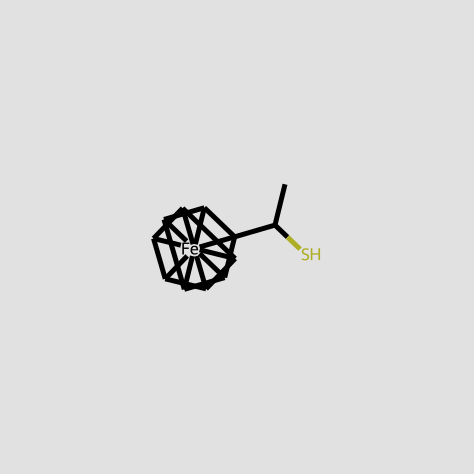 CC(S)[C]12[CH]3[CH]4[CH]5[CH]1[Fe]45321678[CH]2[CH]1[CH]6[CH]7[CH]28